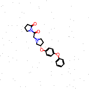 O=C1CCCN1C(=O)CN1CC[C@H](Oc2ccc(Oc3ccccc3)cc2)C1